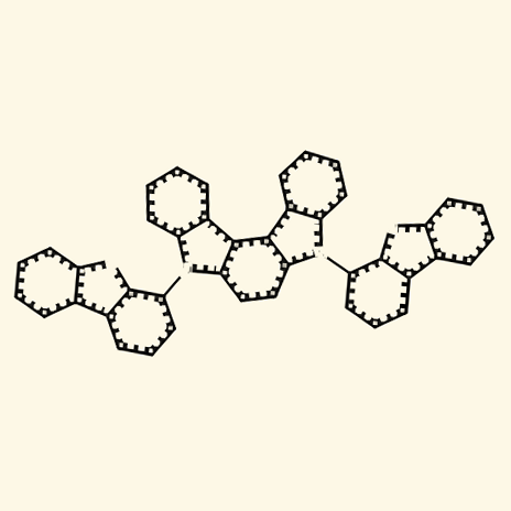 c1ccc2c(c1)oc1c(-n3c4ccccc4c4c5c6ccccc6n(-c6cccc7c6oc6ccccc67)c5ccc43)cccc12